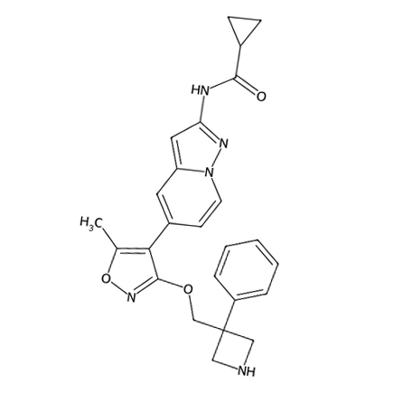 Cc1onc(OCC2(c3ccccc3)CNC2)c1-c1ccn2nc(NC(=O)C3CC3)cc2c1